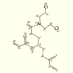 C=CC(=C)CCC(CCC(=C)N(CCCl)CCCl)OC(=O)C=C